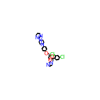 Clc1ccc([C@]2(Cn3ccnc3)OC[C@@H](COc3ccc(N4CCN(c5ncccn5)CC4)cc3)O2)c(Cl)c1